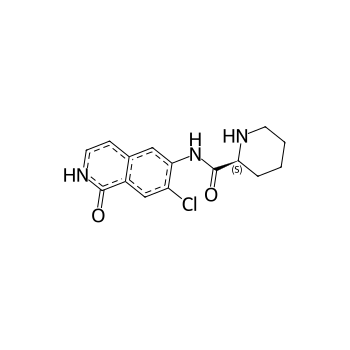 O=C(Nc1cc2cc[nH]c(=O)c2cc1Cl)[C@@H]1CCCCN1